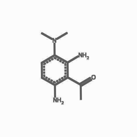 CC(=O)c1c(N)ccc(N(C)C)c1N